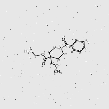 CCOC(=O)C1(COC)CCN(C(=O)c2ccccc2)CC1